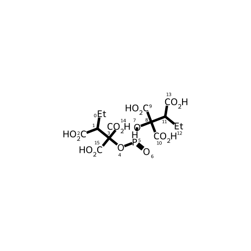 CCC(C(=O)O)C(O[PH](=O)OC(C(=O)O)(C(=O)O)C(CC)C(=O)O)(C(=O)O)C(=O)O